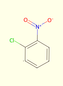 O=[N+]([O-])c1ccc[c]c1Cl